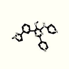 COc1c(Nc2ccncc2)nc(-c2ccncc2)nc1-c1cccc(-c2ccn(C)n2)c1